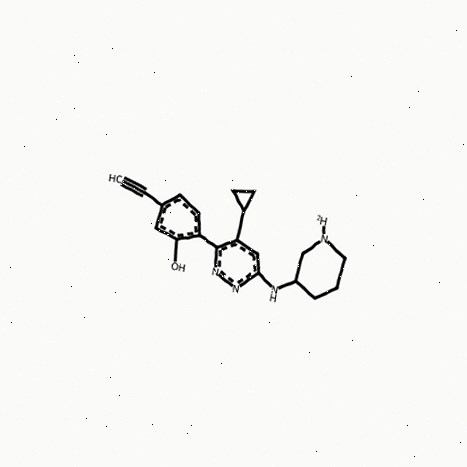 [2H]N1CCCC(Nc2cc(C3CC3)c(-c3ccc(C#C)cc3O)nn2)C1